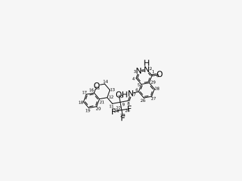 O=c1[nH]ncc2c(N=CC(O)(CC3CCOc4ccccc43)C(F)(F)F)cccc12